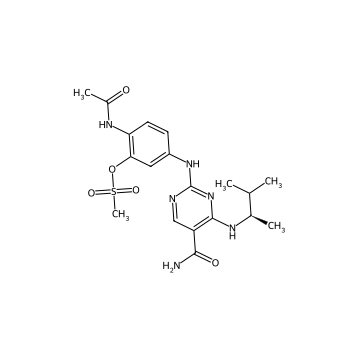 CC(=O)Nc1ccc(Nc2ncc(C(N)=O)c(N[C@H](C)C(C)C)n2)cc1OS(C)(=O)=O